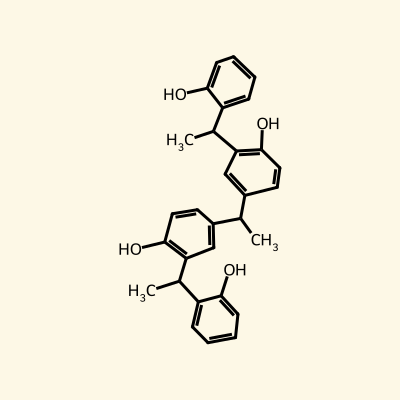 CC(c1ccc(O)c(C(C)c2ccccc2O)c1)c1ccc(O)c(C(C)c2ccccc2O)c1